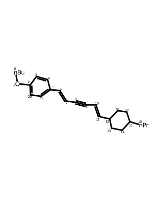 CCCCOc1ccc(C=CC#CC=CC2CCC(CCC)CC2)cc1